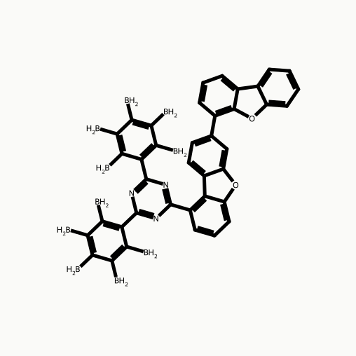 Bc1c(B)c(B)c(-c2nc(-c3c(B)c(B)c(B)c(B)c3B)nc(-c3cccc4oc5cc(-c6cccc7c6oc6ccccc67)ccc5c34)n2)c(B)c1B